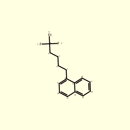 [CH2]CC(F)(F)CCCCc1cccc2ccccc12